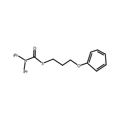 CC(C)N(C(=O)SCCCOc1ccccc1)C(C)C